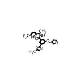 Cc1cnc(-c2cc(OC[C@@H]3CCOC3)cc(C(=O)N[C@H](C)c3ccc(C(F)(F)F)nn3)c2)s1